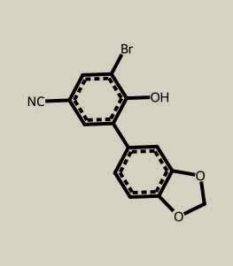 N#Cc1cc(Br)c(O)c(-c2ccc3c(c2)OCO3)c1